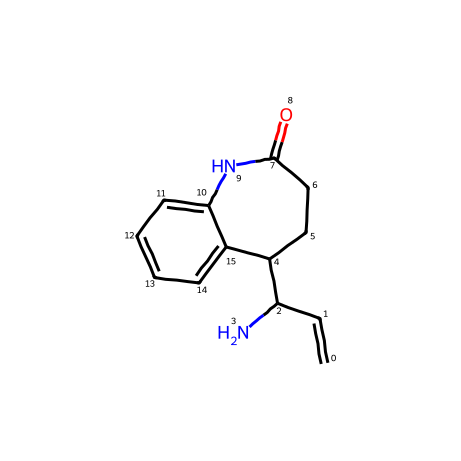 C=CC(N)C1CCC(=O)Nc2ccccc21